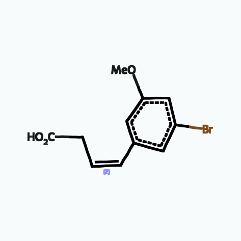 COc1cc(Br)cc(/C=C\CC(=O)O)c1